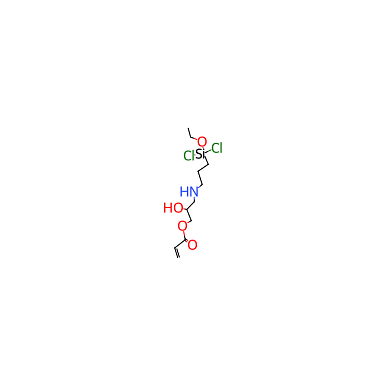 C=CC(=O)OCC(O)CNCCC[Si](Cl)(Cl)OCC